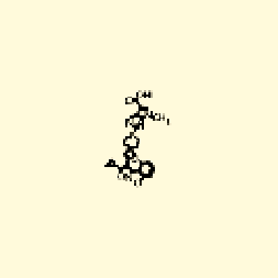 Cn1cc(C(=O)O)c2cnc(N3CCC4(C=C(c5c(-c6c(Cl)cccc6Cl)noc5C5CC5)C4)CC3)nc21